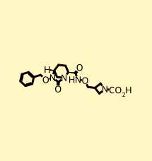 O=C(NOCC1CN(C(=O)O)C1)[C@@H]1CC[C@@H]2CN1C(=O)N2OCc1ccccc1